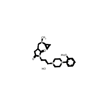 COc1ccccc1N1CCN(CCCN2C(=O)CC(CN(C)C3CC3)C2=O)CC1.Cl